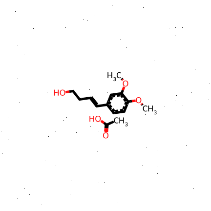 CC(=O)O.COc1ccc(C=CCCO)cc1OC